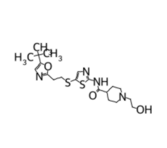 CC(C)(C)c1cnc(CCSc2cnc(NC(=O)C3CCN(CCO)CC3)s2)o1